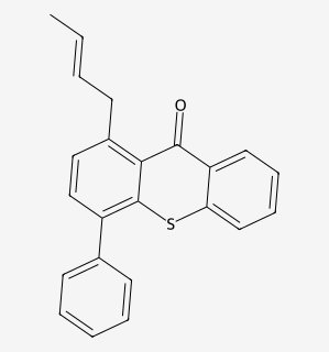 CC=CCc1ccc(-c2ccccc2)c2sc3ccccc3c(=O)c12